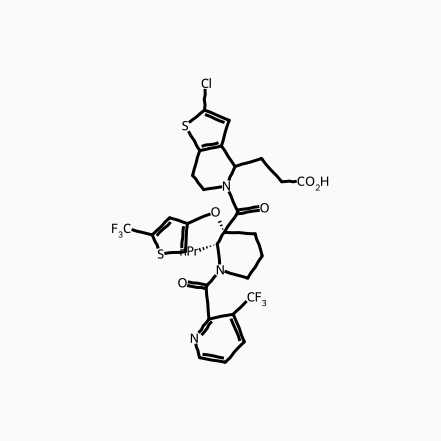 CCC[C@H]1N(C(=O)c2ncccc2C(F)(F)F)CCC[C@]1(Oc1csc(C(F)(F)F)c1)C(=O)N1CCc2sc(Cl)cc2C1CCC(=O)O